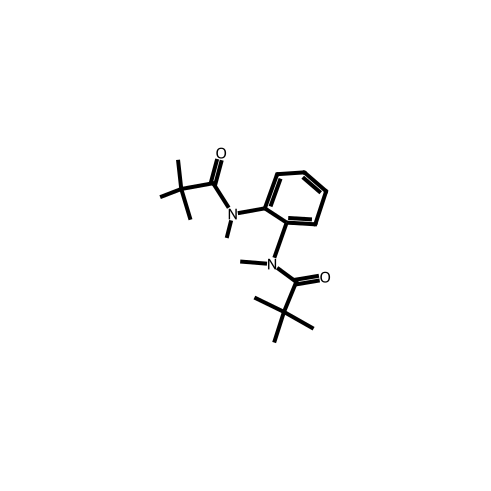 CN(C(=O)C(C)(C)C)c1ccccc1N(C)C(=O)C(C)(C)C